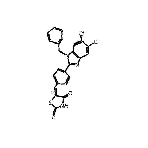 O=C1NC(=O)/C(=C\c2ccc(-c3nc4cc(Cl)c(Cl)cc4n3Cc3ccccc3)cc2)S1